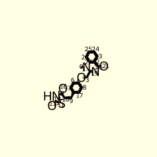 Cn1c(COc2ccc(C=C3SC(=O)NC3=O)cc2)nc(=O)c2ccccc21